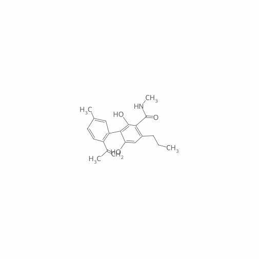 C=C(C)c1ccc(C)cc1-c1c(O)cc(CCC)c(C(=O)NC)c1O